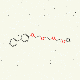 CCOCCOCCOCCOc1ccc(-c2ccccc2)cc1